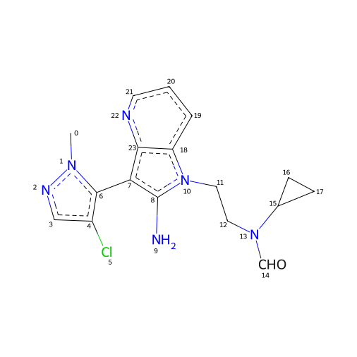 Cn1ncc(Cl)c1-c1c(N)n(CCN(C=O)C2CC2)c2cccnc12